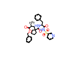 CCCC(CC1(C(=O)NC(Cc2ccccc2)C(=O)NS(=O)(=O)c2cccnc2)CCCC1)C(=O)OCc1ccccc1